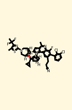 Cc1sc(N2C[C@@H]3C[C@H](C2)N(C(=O)C2CC2)[C@H]3c2cc3c(C)nc4c(F)c(-c5cccc(Cl)c5Cl)c(CCC#N)cc4c3n2[C@H]2[C@H]3CN[C@@H]2C3)nc1C(C)(F)F